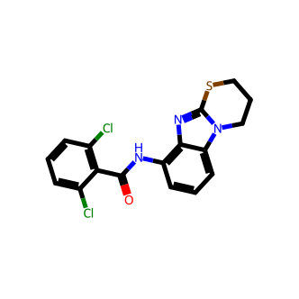 O=C(Nc1cccc2c1nc1n2CCCS1)c1c(Cl)cccc1Cl